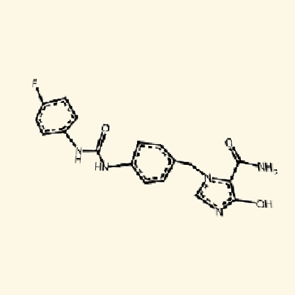 NC(=O)c1c(O)ncn1Cc1ccc(NC(=O)Nc2ccc(F)cc2)cc1